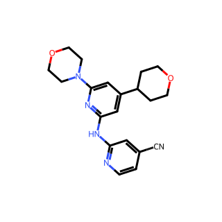 N#Cc1ccnc(Nc2cc(C3CCOCC3)cc(N3CCOCC3)n2)c1